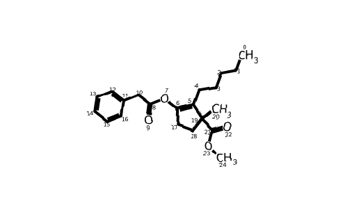 CCCCCC1=C(OC(=O)Cc2ccccc2)CCC1(C)C(=O)OC